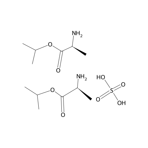 CC(C)OC(=O)[C@H](C)N.CC(C)OC(=O)[C@H](C)N.O=S(=O)(O)O